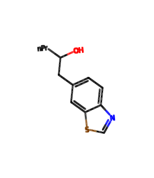 CCCC(O)Cc1ccc2ncsc2c1